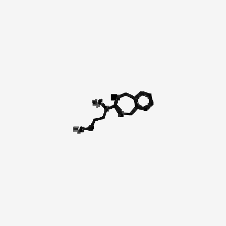 COCCN(C)C1=NCc2ccccc2CN1